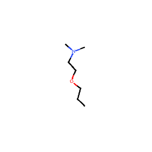 CCCOCCN(C)C